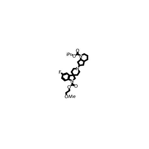 COCCOC(=O)N1CC2(CCN(C3CC4CCCN(C(=O)OC(C)C)C4C3)CC2)c2cc(F)ccc21